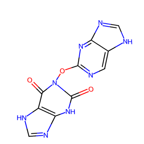 O=c1[nH]c2nc[nH]c2c(=O)n1Oc1ncc2[nH]cnc2n1